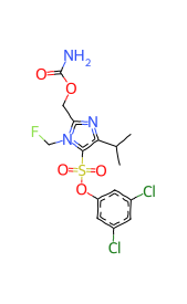 CC(C)c1nc(COC(N)=O)n(CF)c1S(=O)(=O)Oc1cc(Cl)cc(Cl)c1